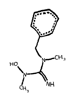 CN(O)C(=N)N(C)Cc1ccccc1